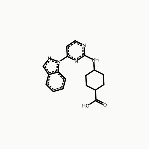 O=C(O)C1CCC(Nc2nccc(-n3ncc4ccccc43)n2)CC1